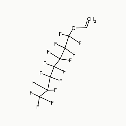 C=COC(F)(F)C(F)(F)C(F)(F)C(F)(F)C(F)(F)C(F)(F)C(F)(F)F